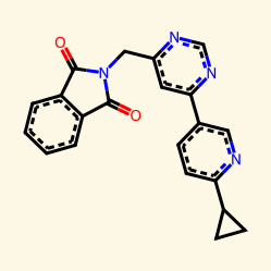 O=C1c2ccccc2C(=O)N1Cc1cc(-c2ccc(C3CC3)nc2)ncn1